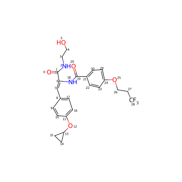 O=C(NCCO)C(=Cc1ccc(OC2CC2)cc1)NC(=O)c1ccc(OCCC(F)(F)F)cc1